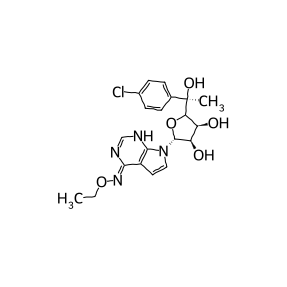 CCON=c1nc[nH]c2c1ccn2[C@@H]1OC([C@](C)(O)c2ccc(Cl)cc2)[C@@H](O)[C@H]1O